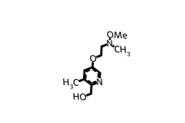 CON(C)CCOc1cnc(CO)c(C)c1